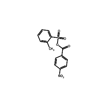 Cc1ccccc1S(=O)(=O)OC(=O)c1ccc([N+](=O)[O-])cc1